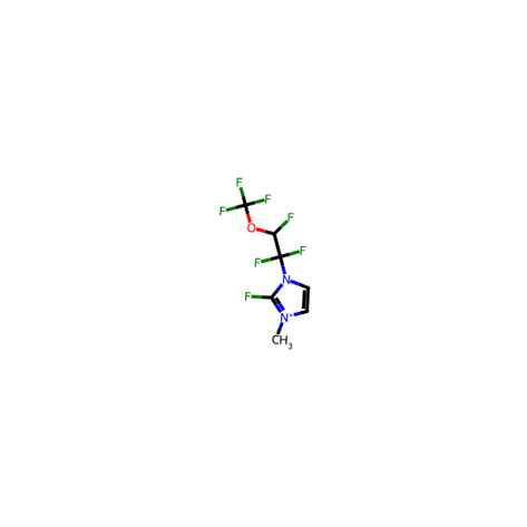 C[n+]1ccn(C(F)(F)C(F)OC(F)(F)F)c1F